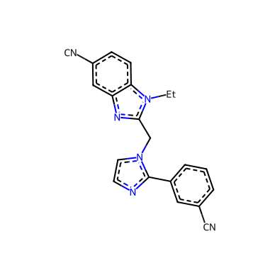 [C-]#[N+]c1ccc2c(c1)nc(Cn1ccnc1-c1cccc(C#N)c1)n2CC